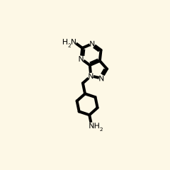 Nc1ncc2cnn(CC3CCC(N)CC3)c2n1